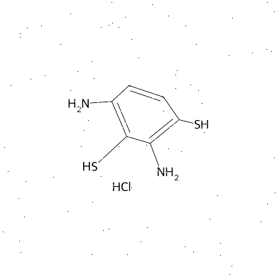 Cl.Nc1ccc(S)c(N)c1S